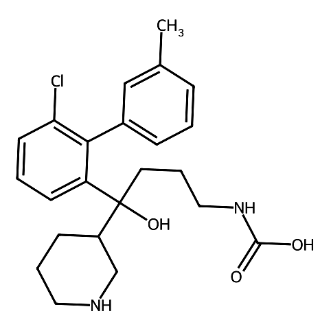 Cc1cccc(-c2c(Cl)cccc2C(O)(CCCNC(=O)O)C2CCCNC2)c1